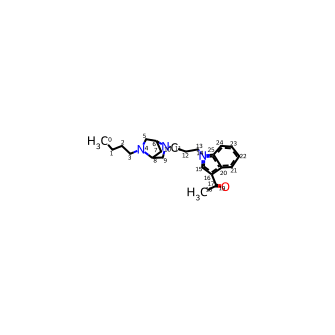 CCCCN1CC2CC1CN2CCCn1cc(C(C)=O)c2ccccc21